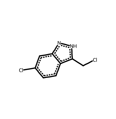 ClCc1[nH]nc2cc(Cl)ccc12